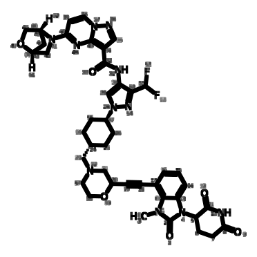 Cn1c(=O)n(C2CCC(=O)NC2=O)c2cccc(C#CC3CN(C[C@H]4CC[C@H](n5cc(NC(=O)c6cnn7ccc(N8C[C@H]9C[C@@H]8CO9)nc67)c(C(F)F)n5)CC4)CCO3)c21